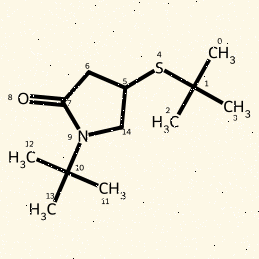 CC(C)(C)SC1CC(=O)N(C(C)(C)C)C1